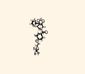 Cc1cc(C(=O)N2CCC3(c4nccs4)OCOC3C2)ccc1OCCOC(F)(F)F